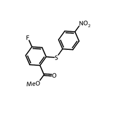 COC(=O)c1ccc(F)cc1Sc1ccc([N+](=O)[O-])cc1